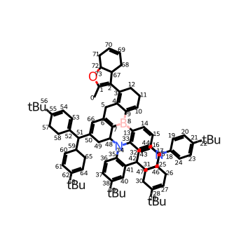 CC1=C(C2=C3CC4=C5B(C3=CCC2)c2ccc(N(c3ccc(C(C)(C)C)cc3)C3CC=C(C(C)(C)C)CC3)cc2N(c2ccc(C(C)(C)C)cc2C2C=CCCC2)C5CC(C(C2=CC=C(C(C)(C)C)CC2)C2C=CC(C(C)(C)C)=CC2)=C4)C2CC=CCC2O1